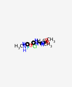 COC(=O)C(C)(C)n1cc(-c2cnc3ccc(Oc4ccc5nc(C)[nH]c5c4F)c(Cl)c3n2)cn1